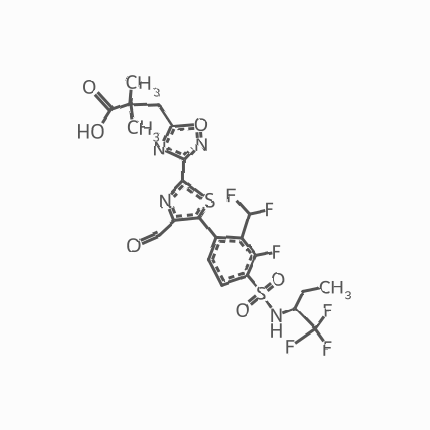 CCC(NS(=O)(=O)c1ccc(-c2sc(-c3noc(CC(C)(C)C(=O)O)n3)nc2C=O)c(C(F)F)c1F)C(F)(F)F